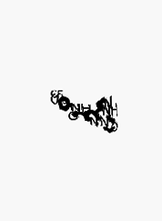 O=C(Nc1ccc(OC(F)(F)F)cc1)c1cnc(N2CCOCC2)c(-c2ccn[nH]2)c1